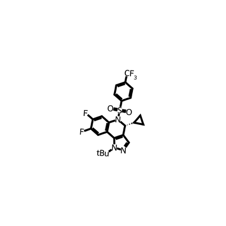 CC(C)(C)n1ncc2c1-c1cc(F)c(F)cc1N(S(=O)(=O)c1ccc(C(F)(F)F)cc1)[C@@H]2C1CC1